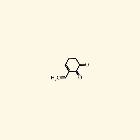 C=CC1=CCCC(=O)C1=O